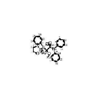 CO[C@](C)(C(=O)N(c1ccccc1)c1ccccc1)[N+](OC)(c1ccccc1)P1(=O)OCCS1